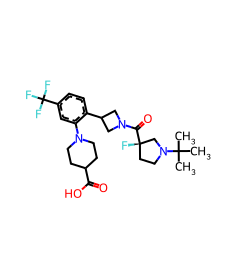 CC(C)(C)N1CC[C@](F)(C(=O)N2CC(c3ccc(C(F)(F)F)cc3N3CCC(C(=O)O)CC3)C2)C1